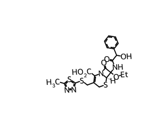 CCOC1(NC(=O)C(O)c2ccccc2)C(=O)N2C(C(=O)O)=C(CSc3nnc(C)s3)CS[C@@H]21